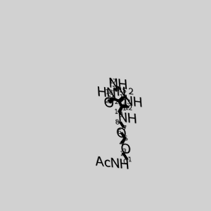 CC(=O)NCCOCCOCCNCc1c[nH]c2nc(N)[nH]c(=O)c12